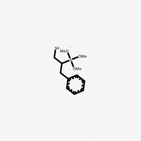 CO[Si](OC)(OC)C(CS)Cc1ccccc1